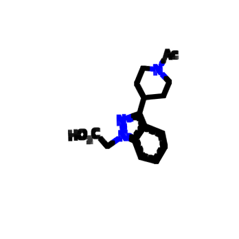 CC(=O)N1CCC(c2nn(CC(=O)O)c3ccccc23)CC1